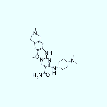 COc1cc2c(cc1Nc1ncc(C(N)=O)c(N[C@H]3CC[C@@H](N(C)C)CC3)n1)CN(C)CC2